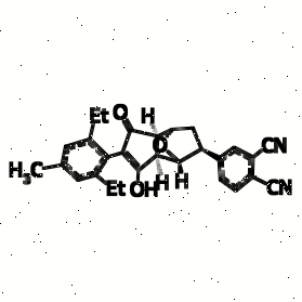 CCc1cc(C)cc(CC)c1C1=C(O)[C@@H]2[C@@H]3OC(C[C@H]3c3ccc(C#N)c(C#N)c3)[C@@H]2C1=O